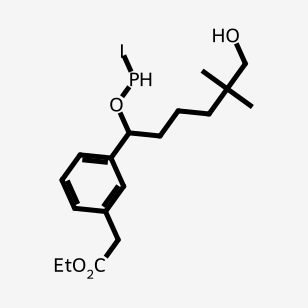 CCOC(=O)Cc1cccc(C(CCCC(C)(C)CO)OPI)c1